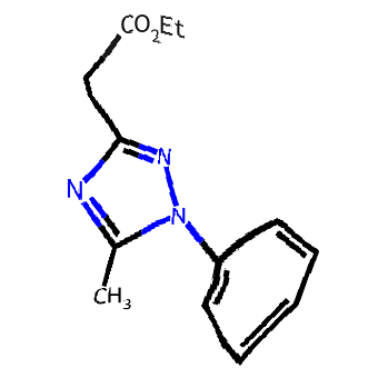 CCOC(=O)Cc1nc(C)n(-c2ccccc2)n1